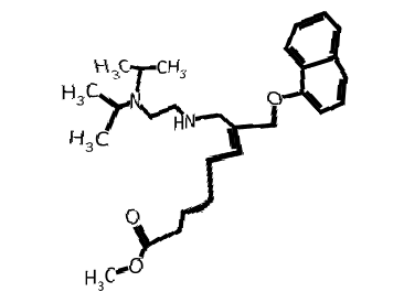 COC(=O)CCCCC=C(CNCCN(C(C)C)C(C)C)COc1cccc2ccccc12